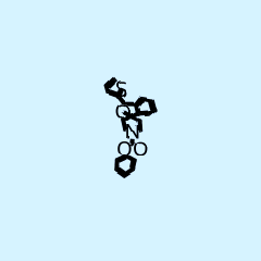 O=C(Oc1ccccc1)N1CCC2(CC1)OC(c1cccs1)c1ccccc12